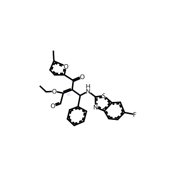 CCO/C(C=O)=C(\C(=O)c1ccc(C)o1)C(Nc1nc2ccc(F)cc2s1)c1ccccc1